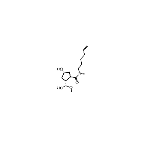 C=CCCCCN(C)C(=O)[C@@H]1C[C@@H](O)C[C@H]1C(O)OC